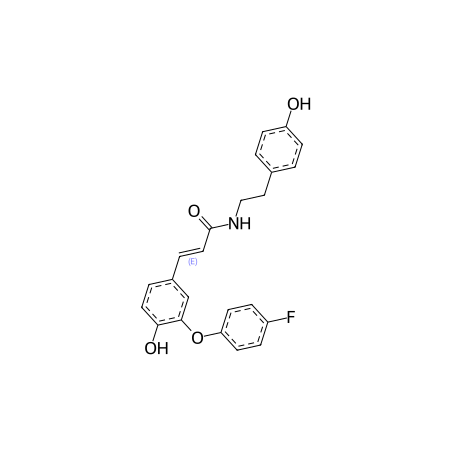 O=C(/C=C/c1ccc(O)c(Oc2ccc(F)cc2)c1)NCCc1ccc(O)cc1